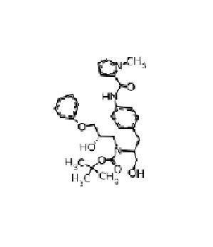 Cn1cccc1C(=O)Nc1ccc(C[C@@H](CO)N(C[C@H](O)COc2ccccc2)C(=O)OC(C)(C)C)cc1